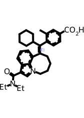 CCN(CC)C(=O)c1cn2c3c(cccc13)/C(=C(/c1ccc(C(=O)O)cc1C)C1CCCCC1)CCCC2